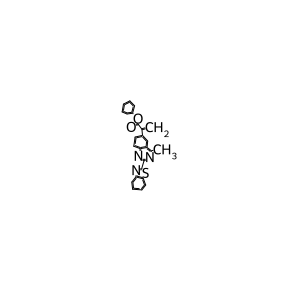 C=C(C(=O)Oc1ccccc1)c1ccc2nc(-c3nc4ccccc4s3)nc(C)c2c1